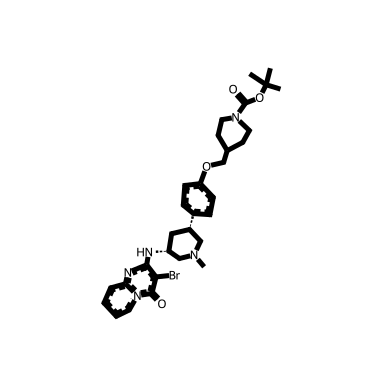 CN1C[C@H](Nc2nc3ccccn3c(=O)c2Br)C[C@H](c2ccc(OCC3CCN(C(=O)OC(C)(C)C)CC3)cc2)C1